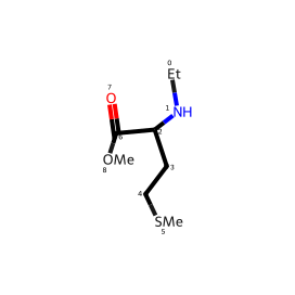 CCNC(CCSC)C(=O)OC